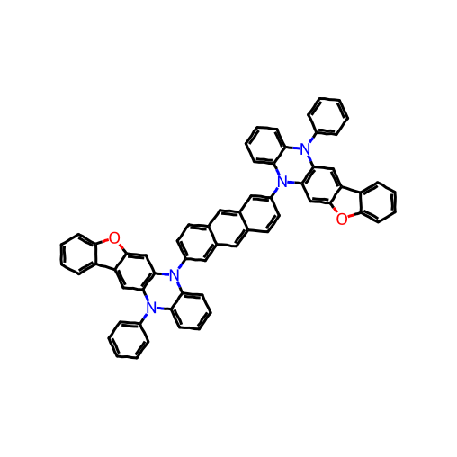 c1ccc(N2c3ccccc3N(c3ccc4cc5cc(N6c7ccccc7N(c7ccccc7)c7cc8c(cc76)oc6ccccc68)ccc5cc4c3)c3cc4oc5ccccc5c4cc32)cc1